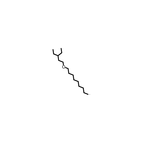 [CH2]CCCCCCCCOCCC(CC)CC